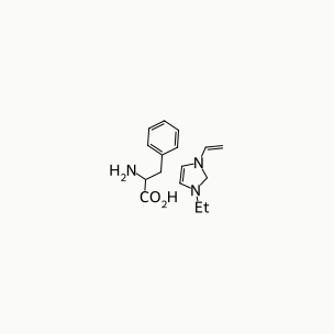 C=CN1C=CN(CC)C1.NC(Cc1ccccc1)C(=O)O